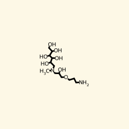 CN(CC(O)COCCCN)CC(O)C(O)C(O)C(O)CO